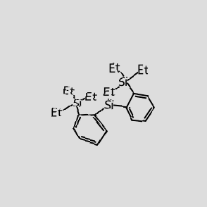 CC[Si](CC)(CC)c1ccccc1[Si]c1ccccc1[Si](CC)(CC)CC